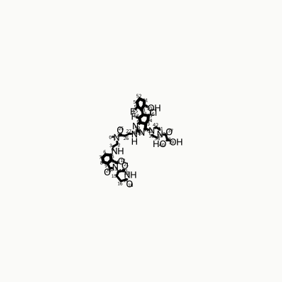 CN(CCNc1cccc2c1C(=O)N(C1CCC(=O)NC1=O)C2=O)C(=O)CCNc1nc(N2CCN(C(=O)C(O)O)CC2)c2cc(Cl)c(-c3c(O)cccc3F)c(F)c2n1